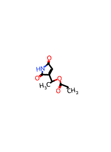 C=CC(=O)OC(C)C1=CC(=O)NC1=O